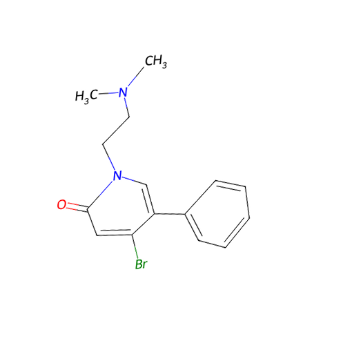 CN(C)CCn1cc(-c2ccccc2)c(Br)cc1=O